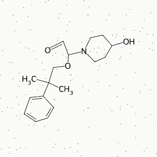 CC(C)(COC(C=O)N1CCC(O)CC1)c1ccccc1